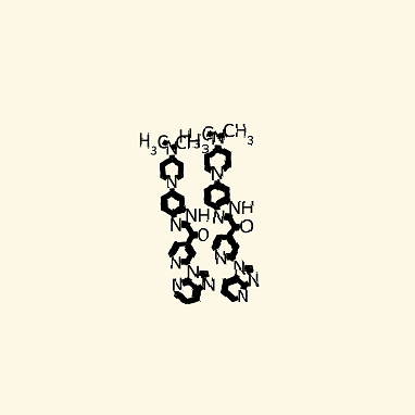 CN(C)C1CCN(c2ccc3nc(C(=O)c4ccnc(-n5cnc6cccnc65)c4)[nH]c3c2)CC1.CN(C)C1CCN(c2ccc3nc(C(=O)c4ccnc(-n5cnc6ncccc65)c4)[nH]c3c2)CC1